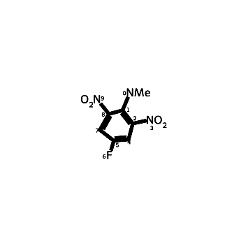 CNc1c([N+](=O)[O-])cc(F)cc1[N+](=O)[O-]